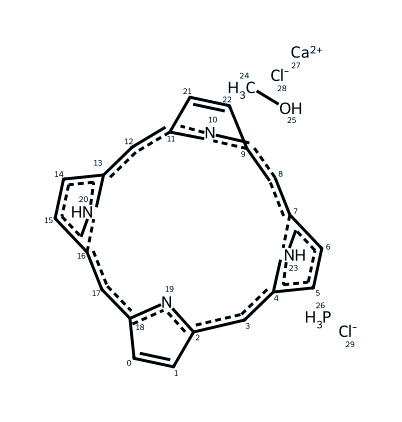 C1=Cc2cc3ccc(cc4nc(cc5ccc(cc1n2)[nH]5)C=C4)[nH]3.CO.P.[Ca+2].[Cl-].[Cl-]